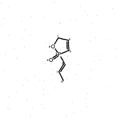 C/C=C/P1(=O)C=CCO1